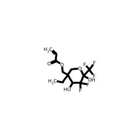 C=CC(=O)OCC1(CC)COC(O)(C(F)(F)F)C(F)(F)C1O